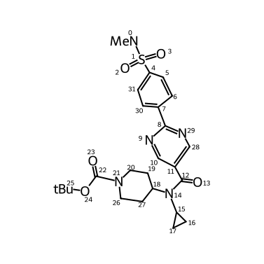 CNS(=O)(=O)c1ccc(-c2ncc(C(=O)N(C3CC3)C3CCN(C(=O)OC(C)(C)C)CC3)cn2)cc1